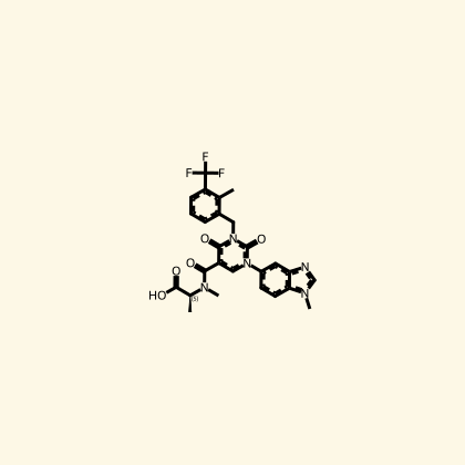 Cc1c(Cn2c(=O)c(C(=O)N(C)[C@@H](C)C(=O)O)cn(-c3ccc4c(c3)ncn4C)c2=O)cccc1C(F)(F)F